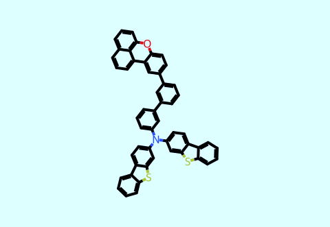 c1cc(-c2cccc(N(c3ccc4c(c3)sc3ccccc34)c3ccc4c(c3)sc3ccccc34)c2)cc(-c2ccc3c(c2)-c2cccc4cccc(c24)O3)c1